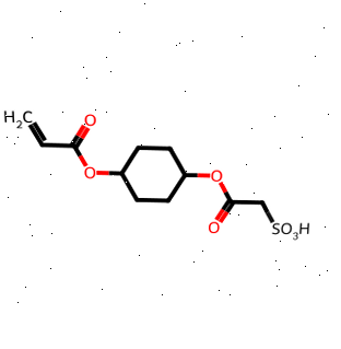 C=CC(=O)OC1CCC(OC(=O)CS(=O)(=O)O)CC1